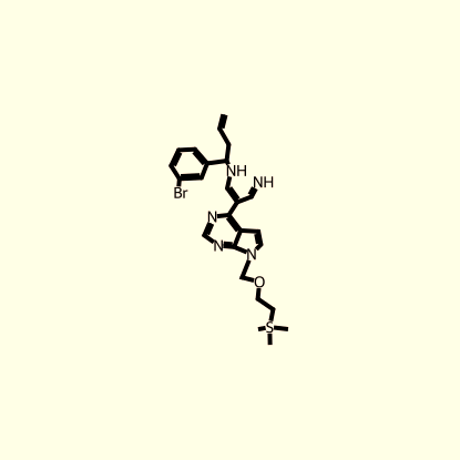 C=CCC(N/C=C(\C=N)c1ncnc2c1ccn2COCCS(C)(C)C)c1cccc(Br)c1